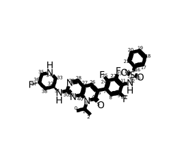 CC(C)n1c(=O)c(-c2cc(F)c(NS(=O)(=O)c3ccccc3)c(F)c2F)cc2cnc(N[C@@H]3CNC[C@@H](F)C3)nc21